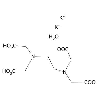 O.O=C([O-])CN(CCN(CC(=O)O)CC(=O)O)CC(=O)[O-].[K+].[K+]